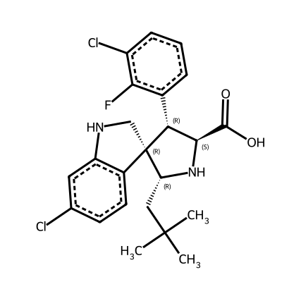 CC(C)(C)C[C@H]1N[C@H](C(=O)O)[C@@H](c2cccc(Cl)c2F)[C@@]12CNc1cc(Cl)ccc12